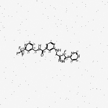 Cn1c(CNc2cccc(C(=O)NCc3ccnc(C(F)(F)F)c3)c2)nnc1-c1ccncn1